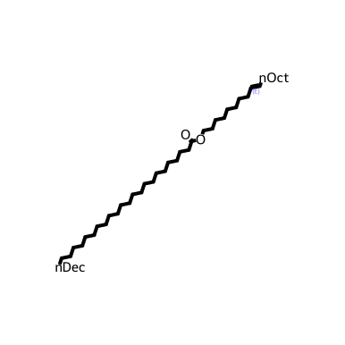 CCCCCCCC/C=C/CCCCCCCCOC(=O)CCCCCCCCCCCCCCCCCCCCCCCCCCCCCCCC